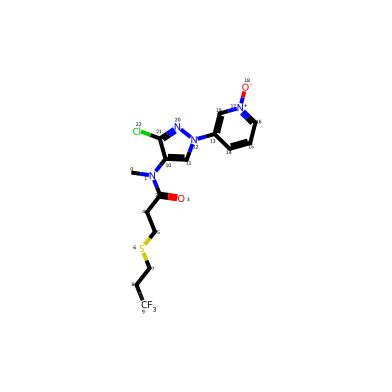 CN(C(=O)CCSCCC(F)(F)F)c1cn(-c2ccc[n+]([O-])c2)nc1Cl